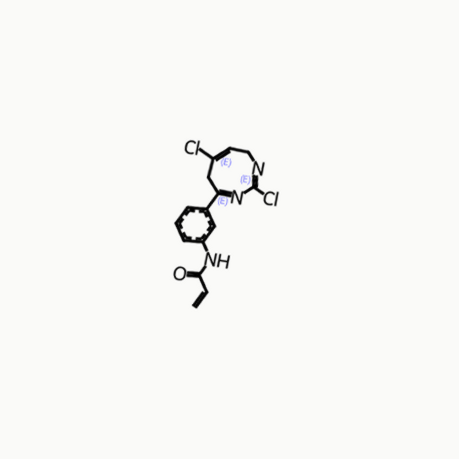 C=CC(=O)Nc1cccc(/C2=N/C(Cl)=N\C/C=C(/Cl)C2)c1